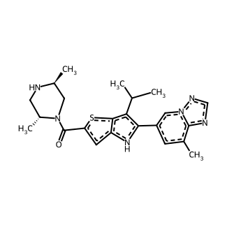 Cc1cc(-c2[nH]c3cc(C(=O)N4C[C@H](C)NC[C@H]4C)sc3c2C(C)C)cn2ncnc12